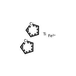 [Fe+2].[Ti].c1cc[cH-]c1.c1cc[cH-]c1